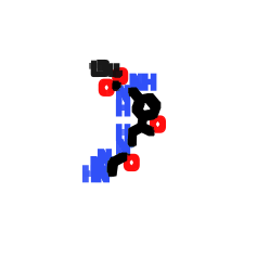 CC(C)(C)OC(=O)NC(=N)c1ccc2c(c1)C(CCNC(=O)c1c[nH]nn1)CO2